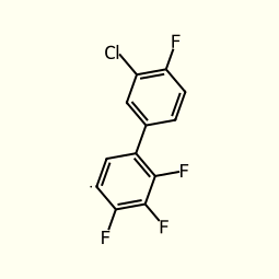 Fc1[c]cc(-c2ccc(F)c(Cl)c2)c(F)c1F